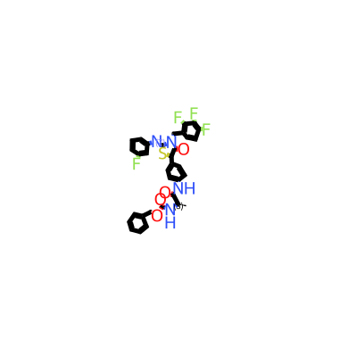 C[C@H](NC(=O)OCc1ccccc1)C(=O)Nc1ccc(C2S/C(=N\c3cccc(F)c3)N(Cc3ccc(F)c(F)c3F)C2=O)cc1